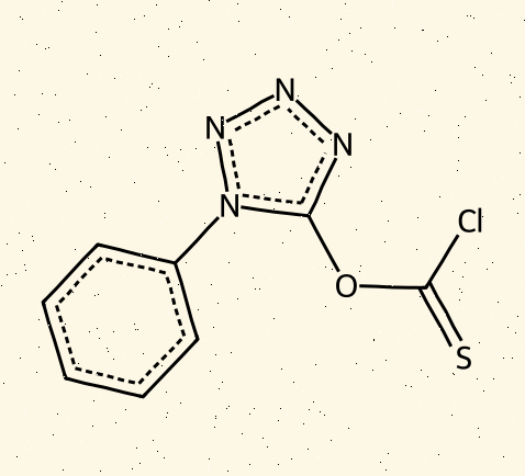 S=C(Cl)Oc1nnnn1-c1ccccc1